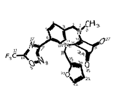 CN(Cc1ccc(-c2noc(C(F)(F)F)n2)cc1)c1c(NCc2ccco2)c(=O)c1=O